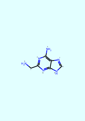 NCc1nc(N)c2nc[nH]c2n1